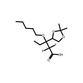 CCCCCOC(CC)(C1COC(C)(C)O1)C(F)(F)C(=O)O